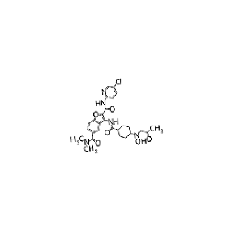 CC(=O)CN(O)C1CCC(C(=O)Nc2c(C(=O)Nc3ccc(Cl)cn3)oc3ccc(C(=O)N(C)C)cc23)CC1